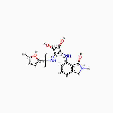 Cc1ccc(C(C)(C)Nc2c(Nc3cccc4c3C(=O)N(C)C4)c(=O)c2=O)o1